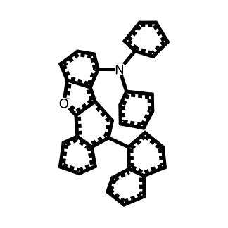 c1ccc(N(c2ccccc2)c2cccc3oc4c5ccccc5c(-c5cccc6ccccc56)cc4c23)cc1